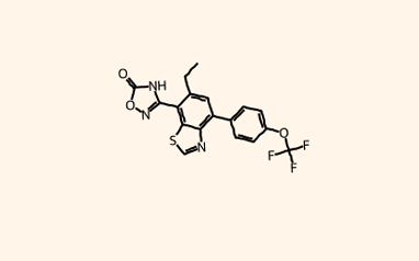 CCc1cc(-c2ccc(OC(F)(F)F)cc2)c2ncsc2c1-c1noc(=O)[nH]1